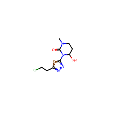 CN1CCC(O)N(c2nnc(CCCl)s2)C1=O